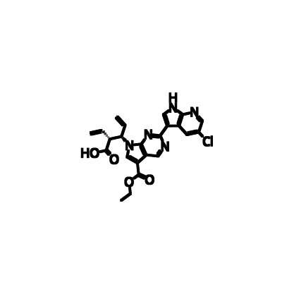 C=C[C@H]([C@@H](C=C)C(=O)O)n1cc(C(=O)OCC)c2cnc(-c3c[nH]c4ncc(Cl)cc34)nc21